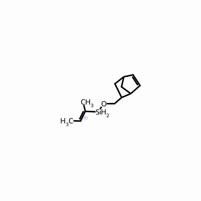 C/C=C(\C)[SiH2]OCC1CC2C=CC1C2